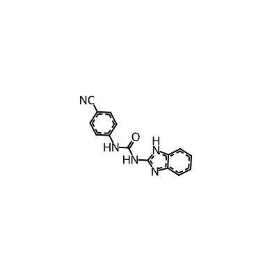 N#Cc1ccc(NC(=O)Nc2nc3ccccc3[nH]2)cc1